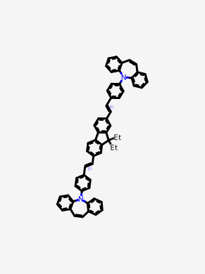 CCC1(CC)c2cc(/C=C/c3ccc(N4c5ccccc5C=Cc5ccccc54)cc3)ccc2-c2ccc(/C=C/c3ccc(N4c5ccccc5C=Cc5ccccc54)cc3)cc21